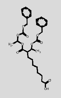 CC(OC(=O)OCc1ccccc1)OC(=O)C(CCCCCCCC(=O)O)C(C)OC(=O)OCc1ccccc1